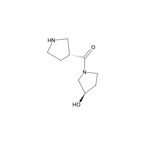 O=C([C@@H]1CCNC1)N1CC[C@@H](O)C1